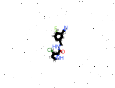 N#Cc1cc(CNC(=O)c2[nH]ccc2Cl)ccc1F